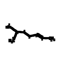 CC=CCCC(C)CCC